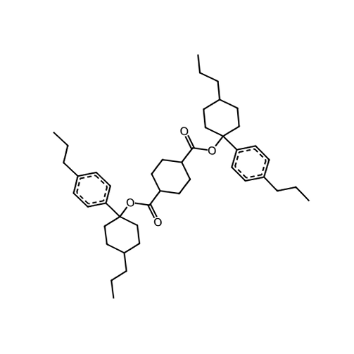 CCCc1ccc(C2(OC(=O)C3CCC(C(=O)OC4(c5ccc(CCC)cc5)CCC(CCC)CC4)CC3)CCC(CCC)CC2)cc1